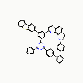 C1=CC(c2ccccc2)Nc2c1ccc1ccc(-c3cc(-c4ccc5c(c4)sc4ccccc45)cc(-c4nc(-c5ccccc5)nc(-c5ccc(-c6ccccc6)cc5)n4)c3)nc21